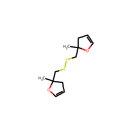 CC1(CSSCC2(C)CC=CO2)CC=CO1